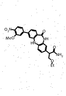 CCOCC(C(N)=O)c1ccc2c(c1)NC(=O)c1ccc(-c3ccc([N+](=O)[O-])c(OC)c3)cc1N2